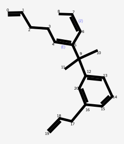 C=CCC/C=C(\C=C/C)C(C)(C)c1cccc(CC=C)c1